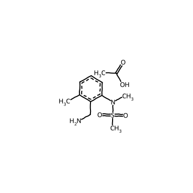 CC(=O)O.Cc1cccc(N(C)S(C)(=O)=O)c1CN